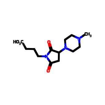 CN1CCN(C2CC(=O)N(CCCC(=O)O)C2=O)CC1